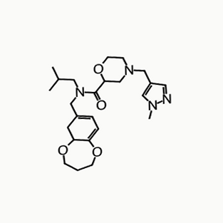 CC(C)CN(CC1=CC=C2OCCCOC2C1)C(=O)C1CN(Cc2cnn(C)c2)CCO1